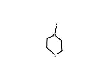 F[N+]1CCSCC1